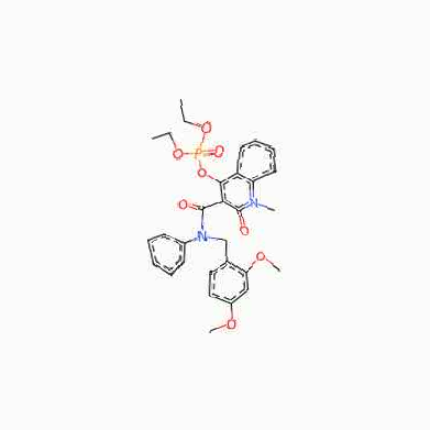 CCOP(=O)(OCC)Oc1c(C(=O)N(Cc2ccc(OC)cc2OC)c2ccccc2)c(=O)n(C)c2ccccc12